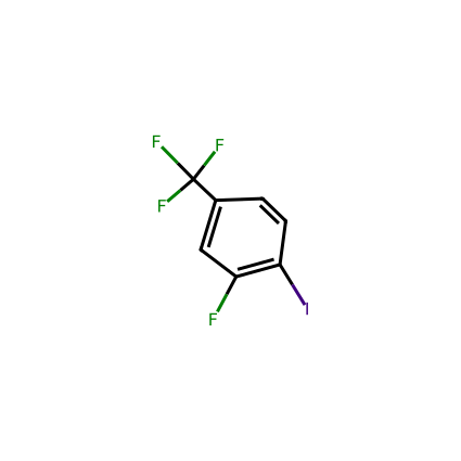 Fc1cc(C(F)(F)F)ccc1I